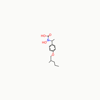 CCCC(C)COc1ccc(C(C)N(O)C(=O)O)cc1